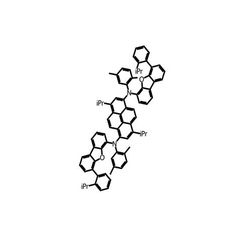 Cc1ccc(C)c(N(c2cc(C(C)C)c3ccc4c(N(c5cc(C)ccc5C)c5cccc6c5oc5c(-c7ccccc7C(C)C)cccc56)cc(C(C)C)c5ccc2c3c54)c2cccc3c2oc2c(-c4ccccc4C(C)C)cccc23)c1